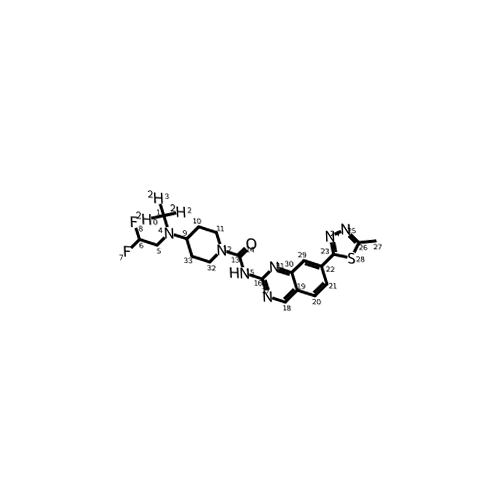 [2H]C([2H])([2H])N(CC(F)F)C1CCN(C(=O)Nc2ncc3ccc(-c4nnc(C)s4)cc3n2)CC1